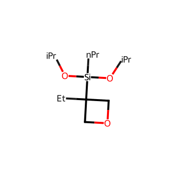 CCC[Si](OC(C)C)(OC(C)C)C1(CC)COC1